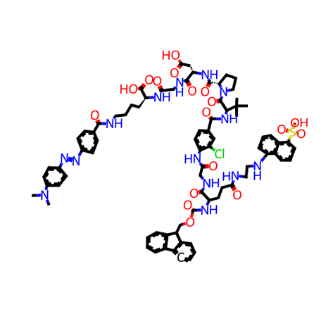 CN(C)c1ccc(/N=N/c2ccc(C(=O)NCCCC[C@H](NC(=O)CNC(=O)[C@H](CC(=O)O)NC(=O)[C@@H]3CCCN3C(=O)C(NC(=O)c3ccc(NC(=O)CNC(=O)C(CCC(=O)NCCNc4cccc5c(S(=O)(=O)O)cccc45)NC(=O)OCC4c5ccccc5-c5ccccc54)c(Cl)c3)C(C)(C)C)C(=O)O)cc2)cc1